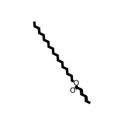 CC=CC=CC(=O)OCCCCCCCCCCCCCCCCCC